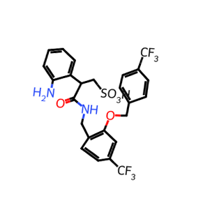 Nc1ccccc1C(CS(=O)(=O)O)C(=O)NCc1ccc(C(F)(F)F)cc1OCc1ccc(C(F)(F)F)cc1